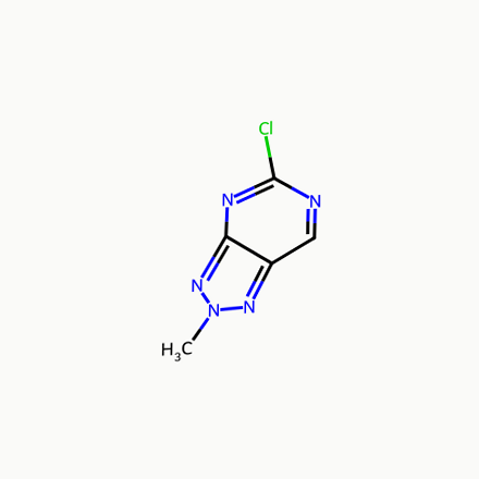 Cn1nc2cnc(Cl)nc2n1